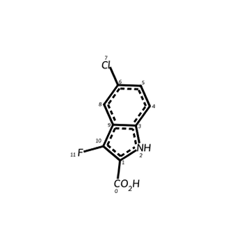 O=C(O)c1[nH]c2ccc(Cl)cc2c1F